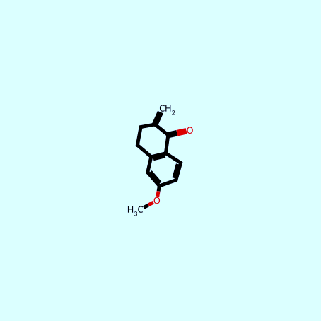 C=C1CCc2cc(OC)ccc2C1=O